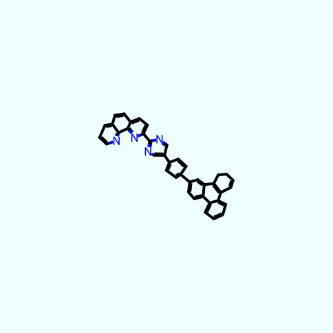 C1=Cc2c(c3cc(-c4ccc(-c5cnc(-c6ccc7ccc8cccnc8c7n6)nc5)cc4)ccc3c3ccccc23)CC1